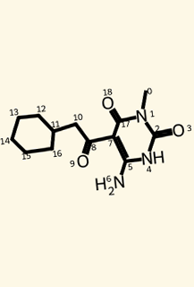 Cn1c(=O)[nH]c(N)c(C(=O)CC2CCCCC2)c1=O